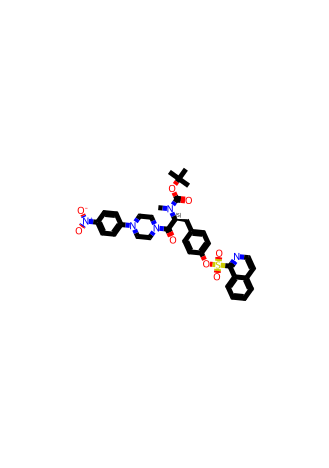 CN(C(=O)OC(C)(C)C)[C@@H](Cc1ccc(OS(=O)(=O)c2nccc3ccccc23)cc1)C(=O)N1CCN(c2ccc([N+](=O)[O-])cc2)CC1